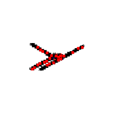 CCCCCCCCCCCCCCCCCCN(CCCCCCCCCCCCCCCCCC)OC(C)O[PH](=O)OC(C)ON(CCCCCCCCCCCCCCCCCC)CCCCCCCCCCCCCCCCCC